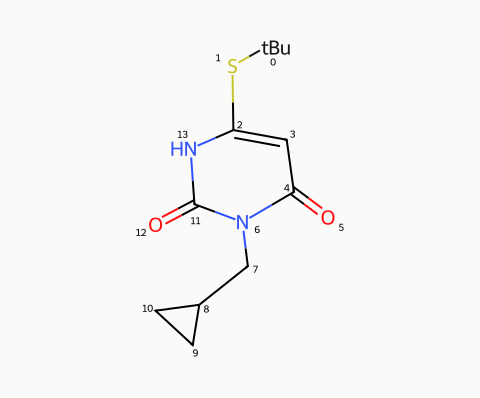 CC(C)(C)Sc1cc(=O)n(CC2CC2)c(=O)[nH]1